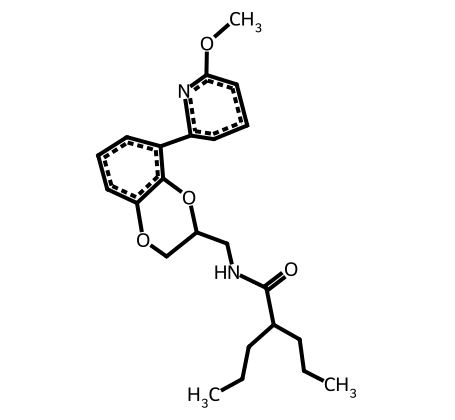 CCCC(CCC)C(=O)NCC1COc2cccc(-c3cccc(OC)n3)c2O1